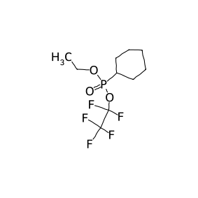 CCOP(=O)(OC(F)(F)C(F)(F)F)C1CCCCC1